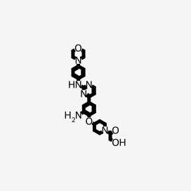 Nc1cc(-c2ccnc(Nc3ccc(N4CCOCC4)cc3)n2)ccc1OC1CCN(C(=O)CO)CC1